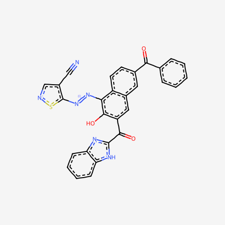 N#Cc1cnsc1/N=N/c1c(O)c(C(=O)c2nc3ccccc3[nH]2)cc2cc(C(=O)c3ccccc3)ccc12